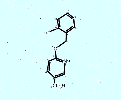 O=C(O)c1ccc(OCc2ccccc2F)nc1